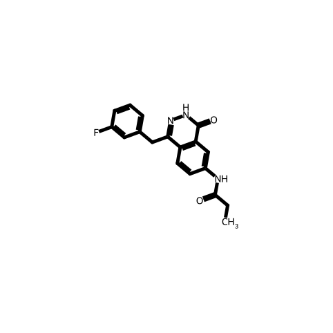 CCC(=O)Nc1ccc2c(Cc3cccc(F)c3)n[nH]c(=O)c2c1